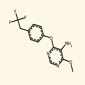 COc1ncnc(Oc2ccc(CC(F)(F)F)cc2)c1N